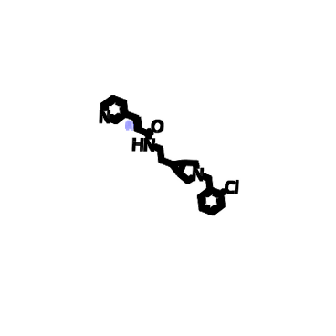 O=C(/C=C/c1cccnc1)NCCC1C2CN(Cc3ccccc3Cl)CC12